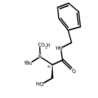 CC(C)(C)N(C(=O)O)[C@H](CO)C(=O)NCc1ccccc1